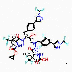 CC(C)(C(NC(=O)O)C(=O)NN(Cc1c(F)cc(-c2cnn(C(F)F)c2)cc1F)C[C@H](O)[C@H](Cc1ccc(-c2cnn(C(F)F)c2)cc1)NC(=O)C(NC(=O)OC1CC1)C(C)(C)C(F)(F)F)C(F)(F)F